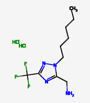 CCCCCCn1nc(C(F)(F)F)nc1CN.Cl.Cl